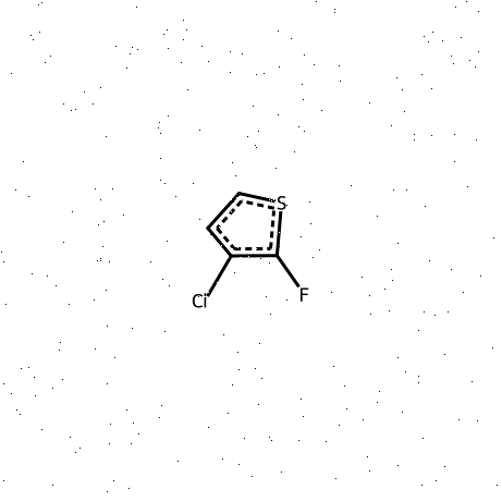 Fc1sccc1Cl